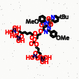 COc1ccc(-c2nc(NS(=O)(=O)c3ccc(C(C)(C)C)cn3)c(Oc3ccccc3OC)c(OCC(COC(=O)OCCC(CON(O)O)ON(O)O)OC(=O)CCCC(CON(O)O)ON(O)O)n2)cc1